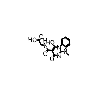 Cn1c2ccccc2n2c(O)c(C(=O)NCC(=O)O)c(=O)nc12